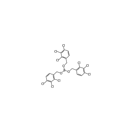 Clc1ccc(COB(OCc2ccc(Cl)c(Cl)c2Cl)OCc2ccc(Cl)c(Cl)c2Cl)c(Cl)c1Cl